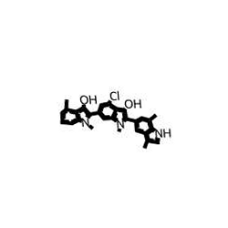 Cc1c[nH]c2c(C)cc(-c3c(O)c4c(Cl)cc(-c5c(O)c6c(C)cccc6n5C)cc4n3C)cc12